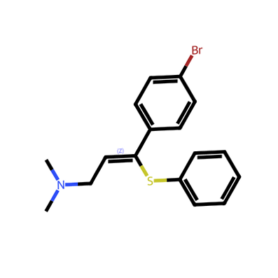 CN(C)C/C=C(\Sc1ccccc1)c1ccc(Br)cc1